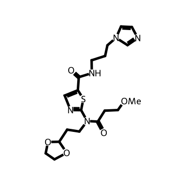 COCCC(=O)N(CCC1OCCO1)c1ncc(C(=O)NCCCn2ccnc2)s1